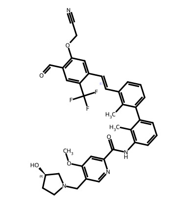 COc1cc(C(=O)Nc2cccc(-c3cccc(/C=C/c4cc(OCC#N)c(C=O)cc4C(F)(F)F)c3C)c2C)ncc1CN1CC[C@@H](O)C1